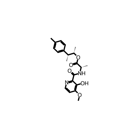 COc1ccnc(C(=O)N[C@@H](C)C(=O)O[C@@H](C)[C@H](C)c2ccc(C)cc2)c1O